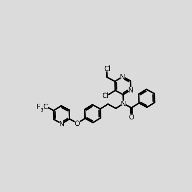 O=C(c1ccccc1)N(CCc1ccc(Oc2ccc(C(F)(F)F)cn2)cc1)c1ncnc(CCl)c1Cl